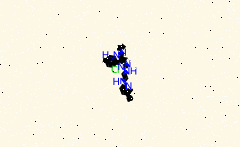 C#Cc1ccc(NCCNc2ncc(/C(N)=N/C(=C)C)c(-c3ccc(C)cc3Cl)n2)nc1